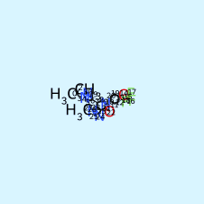 CC(C)Cn1cc(-c2cn(-c3ccc(OC(F)(F)F)cc3)c(=O)c3ncn(C)c23)cn1